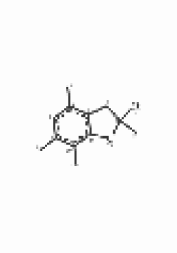 CCC1(C)Cc2c(C)cc(C)c(C)c2O1